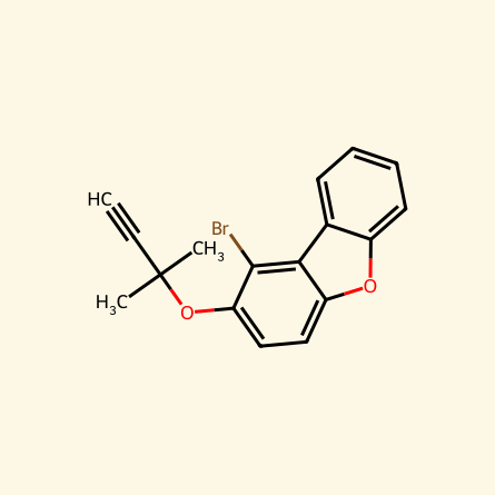 C#CC(C)(C)Oc1ccc2oc3ccccc3c2c1Br